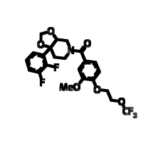 COc1cc(C(=O)N2CCC3(c4cccc(F)c4F)OCOC3C2)ccc1OCCOC(F)(F)F